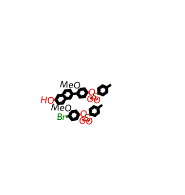 COc1cc(OS(=O)(=O)c2ccc(C)cc2)ccc1-c1ccc2cc(O)ccc2c1.COc1cc(OS(=O)(=O)c2ccc(C)cc2)ccc1Br